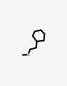 COCCC1CC[CH]CC1